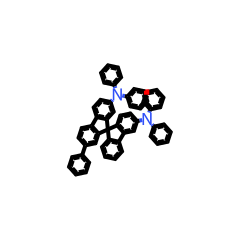 c1ccc(-c2ccc3c(c2)C2(c4ccccc4-c4cc(N(c5ccccc5)c5ccccc5)ccc42)c2cc(N(c4ccccc4)c4ccccc4)ccc2-3)cc1